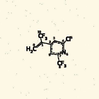 C=C(c1cc(Cl)nc(C(F)(F)F)c1)C(F)(F)F